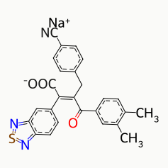 Cc1ccc(C(=O)/C(Cc2ccc(C#N)cc2)=C(/C(=O)[O-])c2ccc3nsnc3c2)cc1C.[Na+]